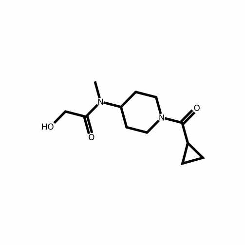 CN(C(=O)CO)C1CCN(C(=O)C2CC2)CC1